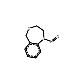 O=NN1CCOCc2ccccc21